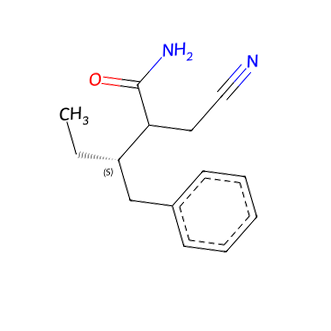 CC[C@@H](Cc1ccccc1)C(CC#N)C(N)=O